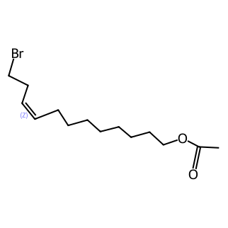 CC(=O)OCCCCCCCC/C=C\CCBr